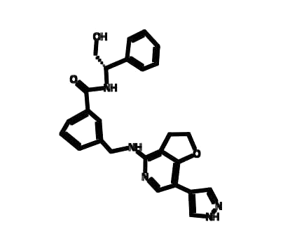 O=C(N[C@H](CO)c1ccccc1)c1cccc(CNc2ncc(-c3cn[nH]c3)c3c2CCO3)c1